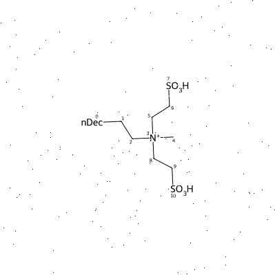 CCCCCCCCCCCC[N+](C)(CCS(=O)(=O)O)CCS(=O)(=O)O